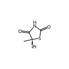 CC(C)[C@]1(C)SC(=O)NC1=O